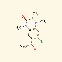 COC(=O)c1cc2c(cc1Br)N(C)C(C)C(=O)N2C